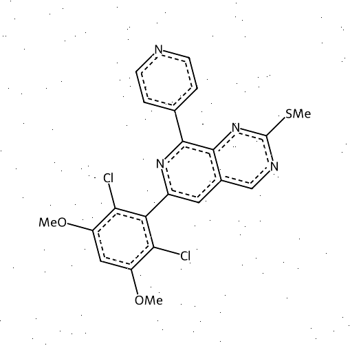 COc1cc(OC)c(Cl)c(-c2cc3cnc(SC)nc3c(-c3ccncc3)n2)c1Cl